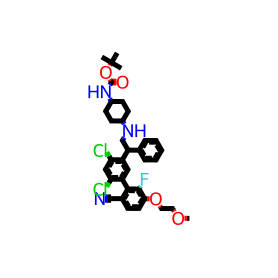 COCCOc1ccc(C#N)c(-c2cc(C(CNC3CCC(NC(=O)OC(C)(C)C)CC3)c3ccccc3)c(Cl)cc2Cl)c1F